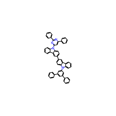 c1ccc(-c2cc(-c3ccccc3)cc(-n3c4ccccc4c4cc(-c5ccc6c(c5)c5ccccc5n6-c5cc(-c6ccccc6)nc(-c6ccccc6)n5)ccc43)c2)cc1